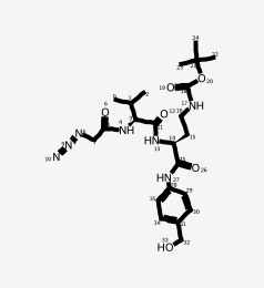 CC(C)[C@H](NC(=O)CN=[N+]=[N-])C(=O)N[C@@H](CCNC(=O)OC(C)(C)C)C(=O)Nc1ccc(CO)cc1